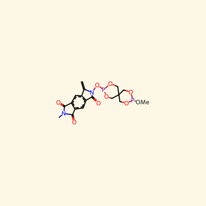 C=C1c2cc3c(cc2C(=O)N1OP1OCC2(COP(OC)OC2)CO1)C(=O)N(C)C3=O